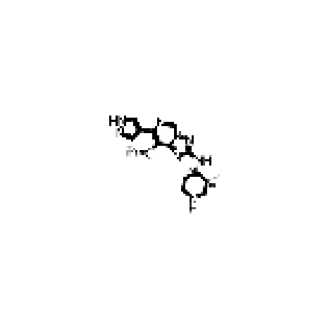 CC(C)Oc1c(-c2cn[nH]c2)ncn2nc(N[C@H]3CCNC[C@H]3C)nc12